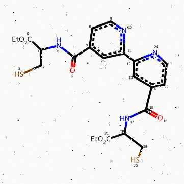 CCOC(=O)C(CS)NC(=O)c1ccnc(-c2cc(C(=O)NC(CS)C(=O)OCC)ccn2)c1